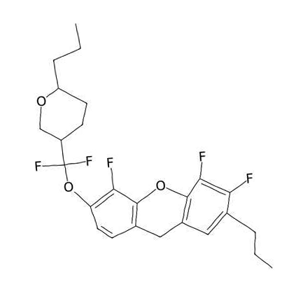 CCCc1cc2c(c(F)c1F)Oc1c(ccc(OC(F)(F)C3CCC(CCC)OC3)c1F)C2